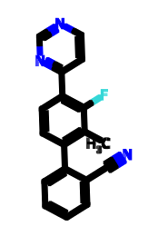 Cc1c(-c2ccccc2C#N)ccc(-c2ccncn2)c1F